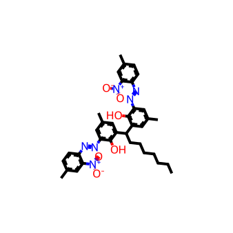 CCCCCCCC(c1cc(C)cc(N=Nc2ccc(C)cc2[N+](=O)[O-])c1O)c1cc(C)cc(N=Nc2ccc(C)cc2[N+](=O)[O-])c1O